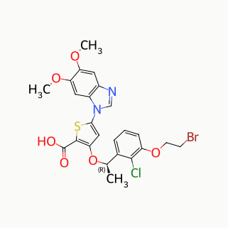 COc1cc2ncn(-c3cc(O[C@H](C)c4cccc(OCCBr)c4Cl)c(C(=O)O)s3)c2cc1OC